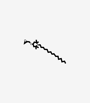 CCCCCCCCCCCCCCCCN1C(C)(C)CC(OCC2CO2)CC1(C)C